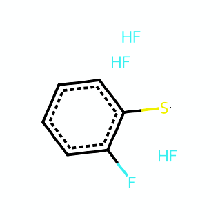 F.F.F.Fc1ccccc1[S]